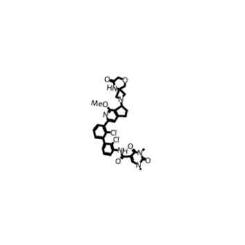 COc1nc(-c2cccc(-c3cccc(NC(=O)c4cn(C)c(=O)n(C)c4=O)c3Cl)c2Cl)cc2c1C(N1CC3(COCC(=O)N3)C1)CC2